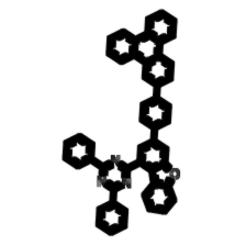 c1ccc(-c2nc(-c3ccccc3)nc(-c3cc(-c4ccc(-c5ccc6c7ccccc7c7ccccc7c6c5)cc4)cc4oc5ccccc5c34)n2)cc1